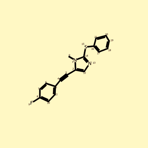 Cn1c(C#Cc2ccc(F)cc2)cnc1Sc1ccccc1